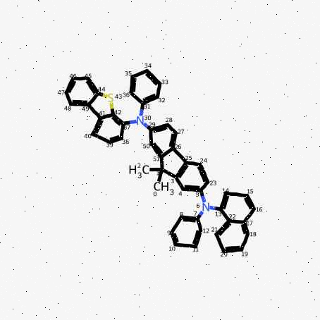 CC1(C)c2cc(N(c3ccccc3)c3cccc4ccccc34)ccc2-c2ccc(N(c3ccccc3)c3cccc4c3sc3ccccc34)cc21